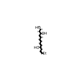 CC/C=C\C[C@H](O)/C=C/C=C/C=C/[C@@H](O)CCO